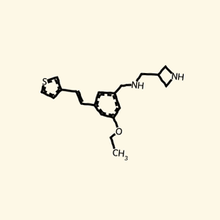 CCOc1cc(/C=C/c2ccsc2)cc(CNCC2CNC2)c1